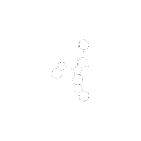 c1ccc(-c2cnc3c4cc5c(cc4n(-c4ccc6ccccn46)c3c2)sc2ccccc25)cc1